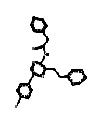 O=C(Cc1ccccc1)Nc1ncc(-c2ccc(F)cc2)nc1CCc1ccccc1